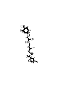 Cc1cc(C(=O)NCC(F)CCNC(=O)COc2ccc(Cl)c(F)c2)on1